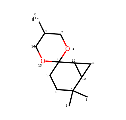 CC(C)C1COC2(CCC(C)(C)C3CC32)OC1